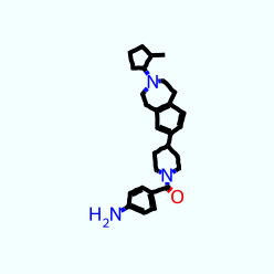 CC1CCCC1N1CCc2ccc(C3CCN(C(=O)c4ccc(N)cc4)CC3)cc2CC1